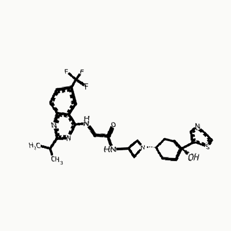 CC(C)c1nc(NCC(=O)NC2CN([C@H]3CC[C@@](O)(c4cncs4)CC3)C2)c2cc(C(F)(F)F)ccc2n1